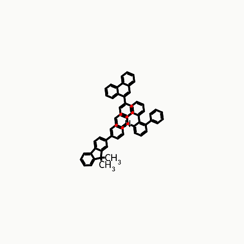 CC1(C)c2ccccc2-c2ccc(-c3ccc(N(c4ccc(-c5cc6ccccc6c6ccccc56)cc4)c4cccc(-c5ccccc5)c4-c4ccccc4-c4ccccc4)cc3)cc21